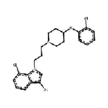 CC(=O)c1cn(CCCN2CCC(Oc3ccccc3Cl)CC2)c2c(Cl)cccc12